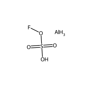 O=S(=O)(O)OF.[AlH3]